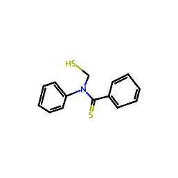 S=C(c1ccccc1)N(CS)c1ccccc1